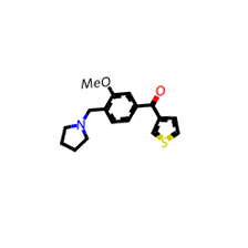 COc1cc(C(=O)c2ccsc2)ccc1CN1CCCC1